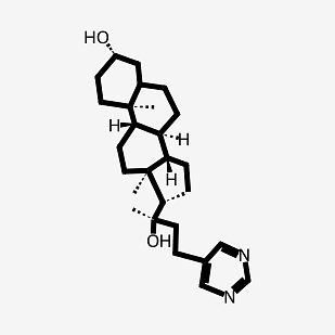 C[C@]12CC[C@H]3[C@@H](CCC4C[C@@H](O)CC[C@@]43C)[C@@H]1CC[C@@H]2[C@](C)(O)CCc1cncnc1